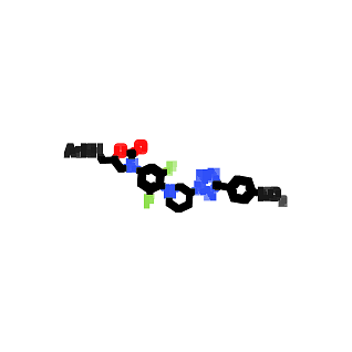 CC(=O)NCC1CN(c2cc(F)c(N3CCCC(n4nnc(-c5ccc([N+](=O)[O-])cc5)n4)C3)c(F)c2)C(=O)O1